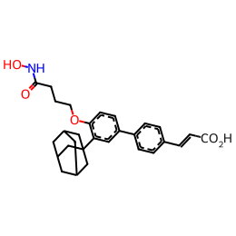 O=C(O)/C=C/c1ccc(-c2ccc(OCCCC(=O)NO)c(C34CC5CC(CC(C5)C3)C4)c2)cc1